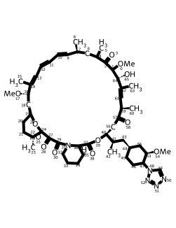 COC1C(=O)C(C)C[C@H](C)/C=C/C=C/C=C(\C)[C@@H](OC)CC2CC[C@@H](C)[C@@](O)(O2)C(=O)C(=O)N2CCCC[C@H]2C(=O)O[C@H]([C@H](C)C[C@@H]2CCC(n3cnnn3)[C@H](OC)C2)CC(=O)[C@H](C)/C=C(\C)[C@H]1O